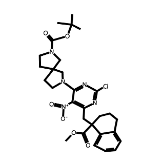 COC(=O)C1(Cc2nc(Cl)nc(N3CCC4(CCN(C(=O)OC(C)(C)C)C4)C3)c2[N+](=O)[O-])CCCc2ccccc21